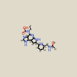 CCN(C(=O)O)c1nc2[nH]c(-c3cccc(CNC(C)=O)n3)cc2c2[nH]cnc12